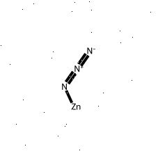 [N-]=[N+]=[N][Zn]